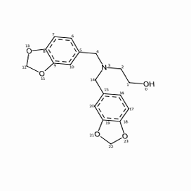 OCCN(Cc1ccc2c(c1)OCO2)Cc1ccc2c(c1)OCO2